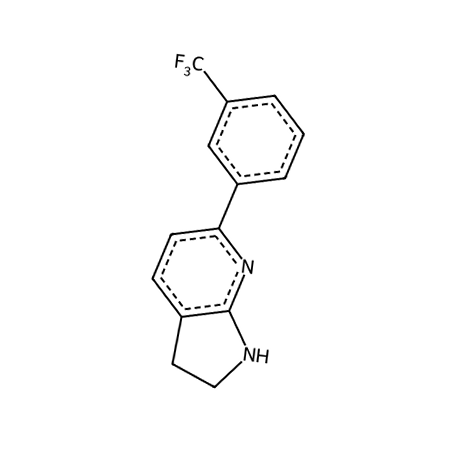 FC(F)(F)c1cccc(-c2ccc3c(n2)NCC3)c1